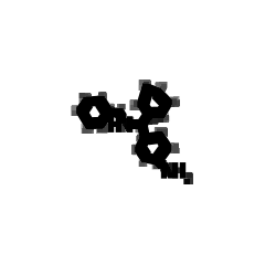 Nc1ccc(C(NCc2ccccc2)c2ccccc2)cc1